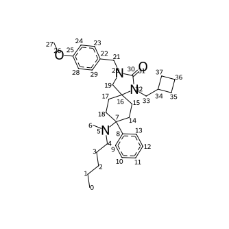 CCCCCN(C)C1(c2ccccc2)CCC2(CC1)CN(Cc1ccc(OC)cc1)C(=O)N2CC1CCC1